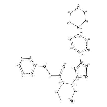 O=C(COc1ccccc1)N1CCNCC1c1nc(-c2ccc(N3CCOCC3)cc2)no1